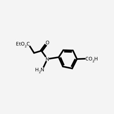 CCOC(=O)CC(=O)N(N)c1ccc(C(=O)O)cc1